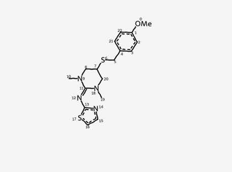 COc1ccc(CSC2CN(C)C(=Nc3nccs3)N(C)C2)cc1